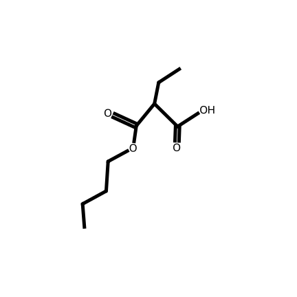 CCCCOC(=O)C(CC)C(=O)O